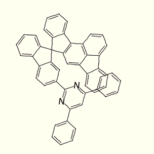 c1ccc(-c2cc(-c3ccccc3)nc(-c3ccc4c(c3)C3(c5ccccc5-4)c4ccccc4-c4c3cc3c5c(cccc45)-c4ccccc4-3)n2)cc1